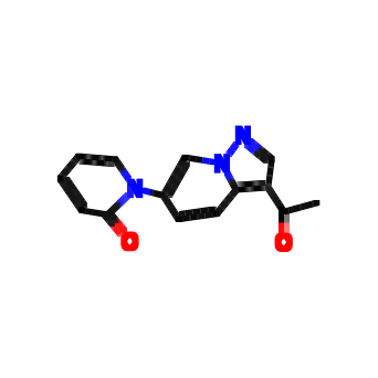 CC(=O)c1cnn2cc(-n3ccccc3=O)ccc12